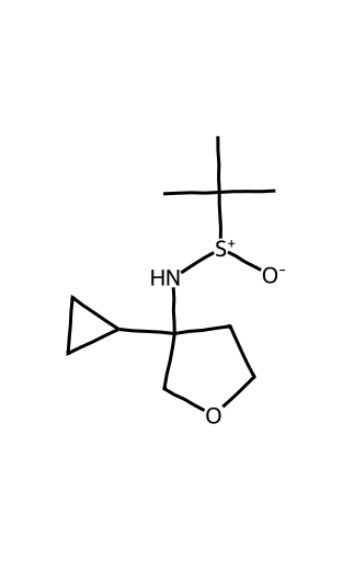 CC(C)(C)[S+]([O-])NC1(C2CC2)CCOC1